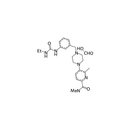 CCNC(=O)Nc1cccc(CN2CCN(c3ccc(C(=O)NC)nc3C)CC2)c1.O=CO